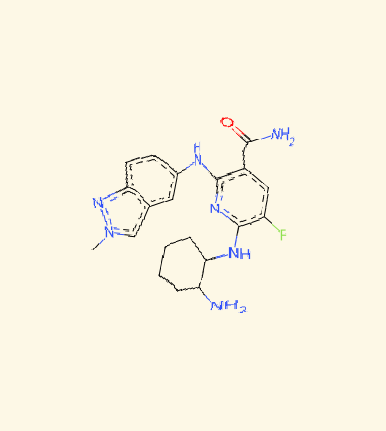 Cn1cc2cc(Nc3nc(NC4CCCCC4N)c(F)cc3C(N)=O)ccc2n1